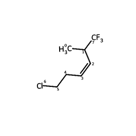 CC(/C=C\CCCl)C(F)(F)F